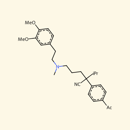 COc1ccc(CCN(C)CCCC(C#N)(c2ccc(C(C)=O)cc2)C(C)C)cc1OC